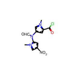 Cn1cc(N(C=O)c2cc([N+](=O)[O-])cn2C)cc1C(=O)Cl